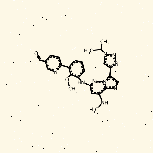 CNc1cc(Nc2cccc(-c3ccc(C=O)cn3)c2OC)nn2c(-c3cn(C(C)C)nn3)cnc12